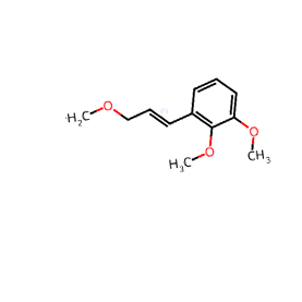 [CH2]OC/C=C/c1cccc(OC)c1OC